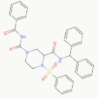 O=C(NC(=O)N1CCN(S(=O)(=O)c2ccccc2)C(C(=O)NC(c2ccccc2)c2ccccc2)C1)c1ccccc1